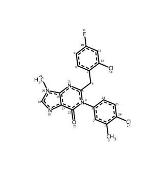 Cc1cc(-n2c(Cc3ccc(F)cc3Cl)nc3c(ncn3C)c2=O)ccc1Cl